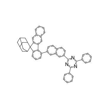 c1ccc(-c2nc(-c3ccccc3)nc(-c3ccc4ccc(-c5cccc6c5-c5cc7ccccc7cc5C65C6CC7CC(C6)CC5C7)cc4c3)n2)cc1